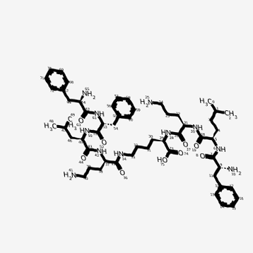 CC(C)CC[C@@H](NC(=O)[C@H](N)Cc1ccccc1)C(=O)N[C@H](CCCN)C(=O)N[C@H](CCCCNC(=O)[C@@H](CCCN)NC(=O)[C@@H](CC(C)C)NC(=O)[C@@H](Cc1ccccc1)NC(=O)[C@H](N)Cc1ccccc1)C(=O)O